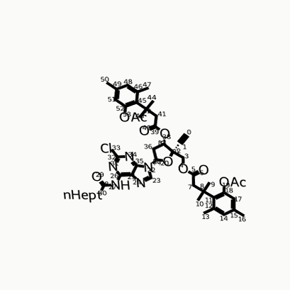 C#C[C@]1(COC(=O)CC(C)(C)c2c(C)cc(C)cc2OC(C)=O)O[C@@H](n2cnc3c(NC(=O)CCCCCCC)nc(Cl)nc32)C[C@@H]1OC(=O)CC(C)(C)c1c(C)cc(C)cc1OC(C)=O